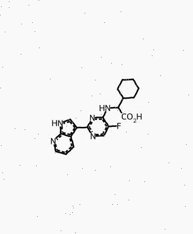 O=C(O)C(Nc1nc(-c2c[nH]c3ncccc23)ncc1F)C1CCCCC1